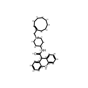 O=C(NC1CCN(CC2=CCCCCCCC2)CC1)C1c2ccccc2Oc2ccccc21